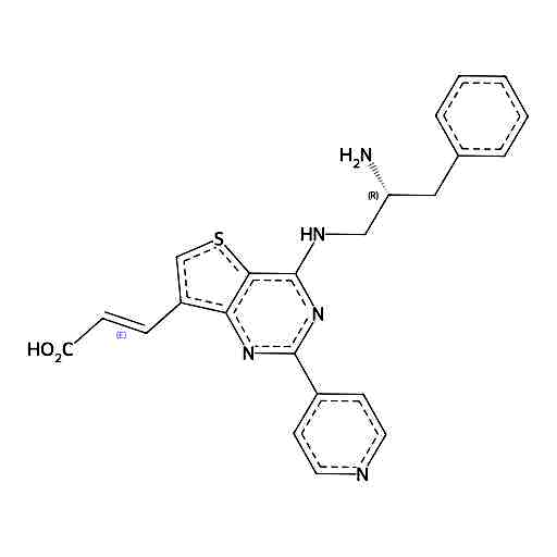 N[C@@H](CNc1nc(-c2ccncc2)nc2c(/C=C/C(=O)O)csc12)Cc1ccccc1